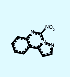 O=[N+]([O-])c1nc2ccccc2c2ccnn12